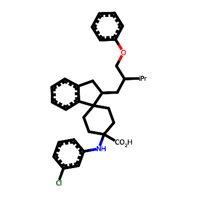 CC(C)C(COc1ccccc1)CC1Cc2ccccc2C12CCC(Nc1cccc(Cl)c1)(C(=O)O)CC2